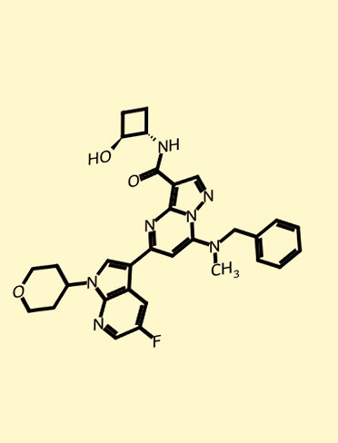 CN(Cc1ccccc1)c1cc(-c2cn(C3CCOCC3)c3ncc(F)cc23)nc2c(C(=O)N[C@H]3CC[C@@H]3O)cnn12